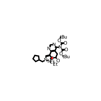 CCOC(Cc1c(-c2cnn(CC3CCCC3)c2)ncnc1N(C(=O)OC(C)(C)C)C(=O)OC(C)(C)C)OCC